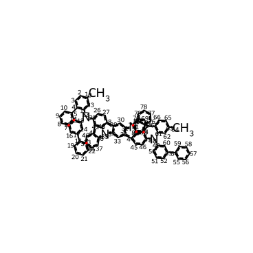 Cc1ccc(-c2ccccc2)c(N(c2cccc(-c3ccccc3)c2)c2ccc3c4cc5c(cc4n4c6ccccc6c2c34)c2ccc(N(c3cccc(-c4ccccc4)c3)c3cc(C)ccc3-c3ccccc3)c3c4ccccc4n5c23)c1